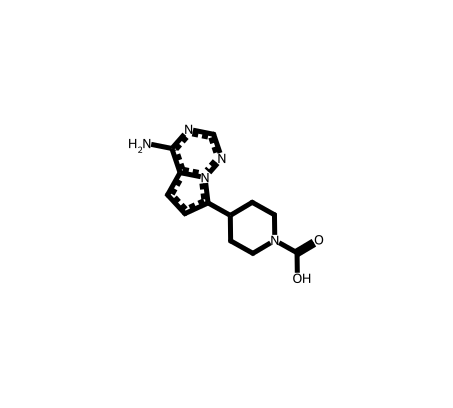 Nc1ncnn2c(C3CCN(C(=O)O)CC3)ccc12